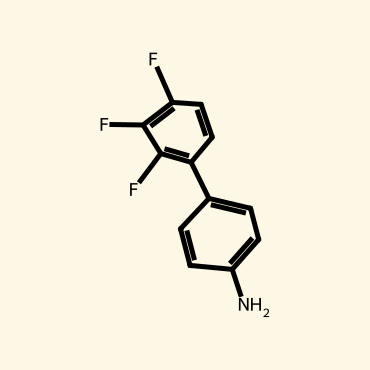 Nc1ccc(-c2ccc(F)c(F)c2F)cc1